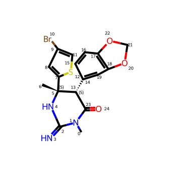 CN1C(=N)N[C@](C)(c2cc(Br)cs2)[C@H](c2ccc3c(c2)OCO3)C1=O